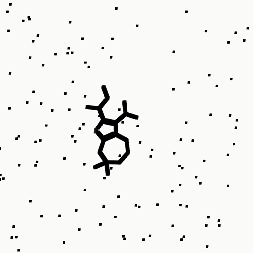 CCC(C)c1sc2c(c1C(C)C)CCCC(C)(C)C2